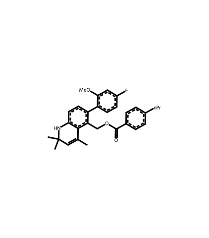 CCCc1ccc(C(=O)OCc2c(-c3ccc(F)cc3OC)ccc3c2C(C)=CC(C)(C)N3)cc1